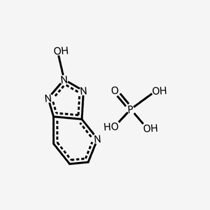 O=P(O)(O)O.On1nc2cccnc2n1